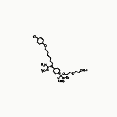 CCOC(OC=O)(OCCOCCOC)[n+]1ccc(N(CCCCCCOc2ccc(Cl)cc2)C(N)=NC#N)cc1.[I-]